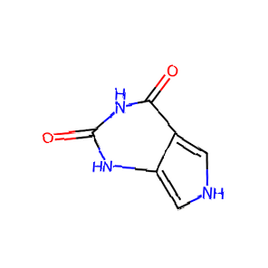 O=c1[nH]c(=O)c2c[nH]cc2[nH]1